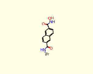 CC(C)NC(=O)c1ccc2cc(C(=O)NO)ccc2c1